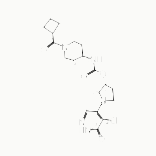 O=C(NC1CCN(C(=O)C2CCC2)CC1)O[C@@H]1CCN(c2cn[nH]c(=O)c2Cl)C1